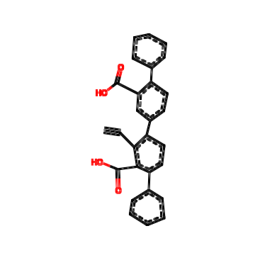 C#Cc1c(-c2ccc(-c3ccccc3)c(C(=O)O)c2)ccc(-c2ccccc2)c1C(=O)O